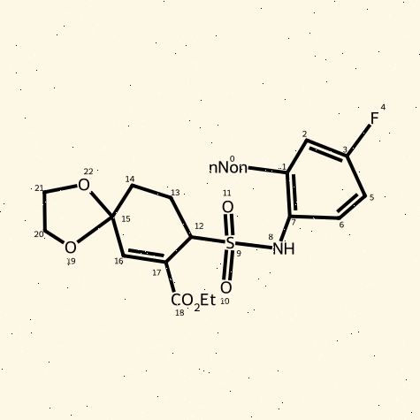 CCCCCCCCCc1cc(F)ccc1NS(=O)(=O)C1CCC2(C=C1C(=O)OCC)OCCO2